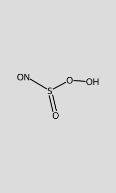 O=NS(=O)OO